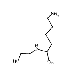 NCCCCC(O)PCCO